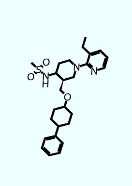 CCc1cccnc1N1CCC(NS(C)(=O)=O)[C@H](COC2CCC(c3ccccc3)CC2)C1